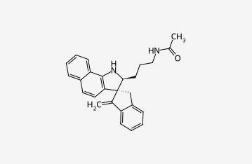 C=C1c2ccccc2C[C@@]12c1ccc3ccccc3c1N[C@H]2CCCNC(C)=O